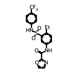 CCc1ccc(NC(=O)c2ncco2)cc1S(=O)(=O)Nc1ccc(C(F)(F)F)cc1